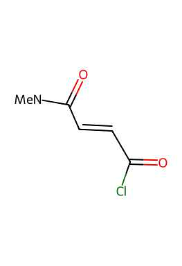 CNC(=O)C=CC(=O)Cl